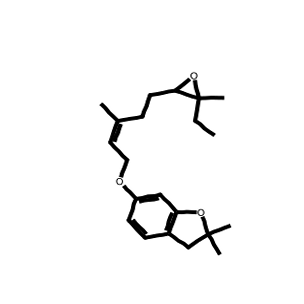 CCC1(C)OC1CCC(C)=CCOc1ccc2c(c1)OC(C)(C)C2